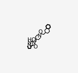 O=C(CC1CCc2ccccc2C1)N1CCC(O)(Cn2cnn3cccc3c2=O)CC1